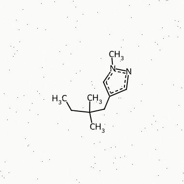 CCC(C)(C)Cc1cnn(C)c1